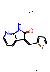 O=C1Nc2ncccc2C1=Cc1cccs1